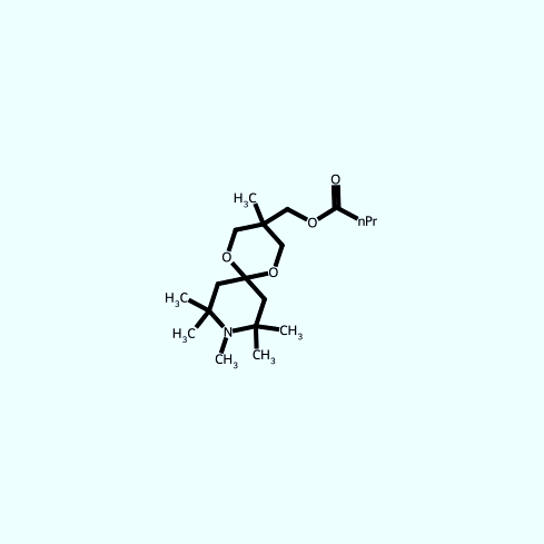 CCCC(=O)OCC1(C)COC2(CC(C)(C)N(C)C(C)(C)C2)OC1